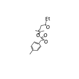 CCC(=O)CS(C)(C)OS(=O)(=O)c1ccc(C)cc1